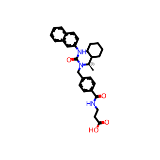 C[C@H](C1CCCCC1)N(Cc1ccc(C(=O)NCCC(=O)O)cc1)C(=O)Nc1ccc2ccccc2c1